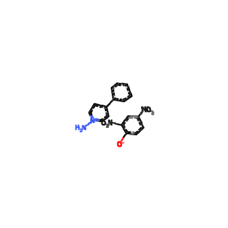 N[n+]1ccc(-c2ccccc2)cc1.O=[N+]([O-])c1ccc([O-])c([N+](=O)[O-])c1